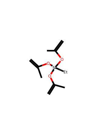 C=C(C)O[Si](CC)(OC(=C)C)OC(=C)C